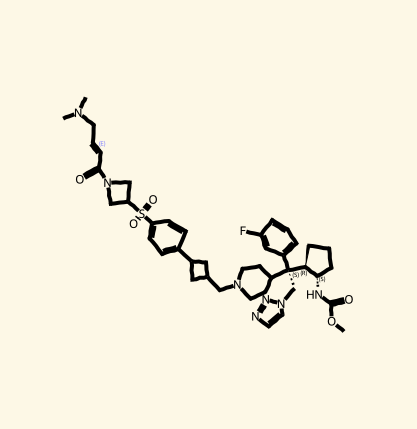 COC(=O)N[C@H]1CCC[C@@H]1[C@](Cn1ccnn1)(c1cccc(F)c1)C1CCN(CC2CC(c3ccc(S(=O)(=O)C4CN(C(=O)/C=C/CN(C)C)C4)cc3)C2)CC1